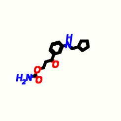 NC(=O)OCCC(=O)c1cccc(NCC2CCCC2)c1